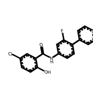 O=C(Nc1ccc(-c2ccncc2)c(F)c1)c1cc(Cl)ccc1O